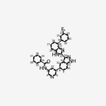 O=C(Nc1cncc(-c2ccc3[nH]nc(-c4nc5c(-c6cccc(F)c6)cccc5[nH]4)c3c2)c1)c1ccccc1